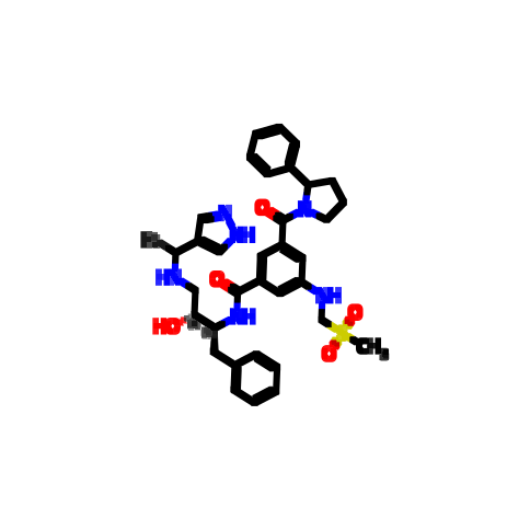 CCC(NC[C@@H](O)[C@H](Cc1ccccc1)NC(=O)c1cc(NCS(C)(=O)=O)cc(C(=O)N2CCCC2c2ccccc2)c1)c1cn[nH]c1